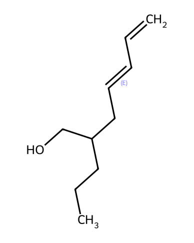 C=C/C=C/CC(CO)CCC